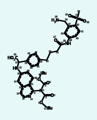 CC(C)(C)OC(=O)N(C(=O)OC(C)(C)C)c1nccc2cc(NC(C(=O)O)c3ccc(CCCC(=O)Nc4ccc(S(C)(=O)=O)c(CN)c4)cc3)ccc12